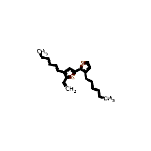 C=Cc1sc(-c2sccc2CCCCCC)cc1CCCCCC